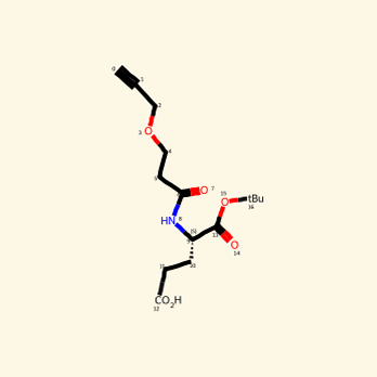 C#CCOCCC(=O)N[C@@H](CCC(=O)O)C(=O)OC(C)(C)C